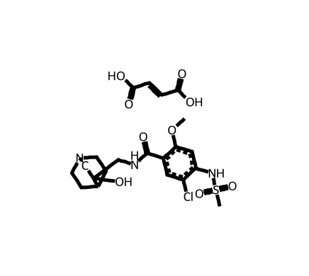 COc1cc(NS(C)(=O)=O)c(Cl)cc1C(=O)NCC1(O)CN2CCC1CC2.O=C(O)/C=C/C(=O)O